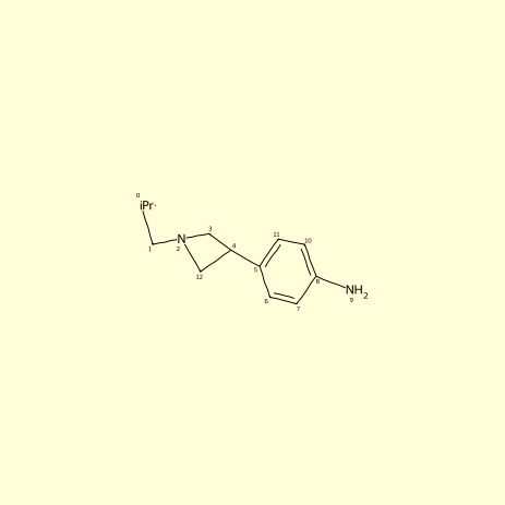 C[C](C)CN1CC(c2ccc(N)cc2)C1